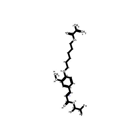 C=C(C)C(=O)OCCCCCCOc1ccc(/C=C/C(=O)OC(F)C(F)F)cc1OC